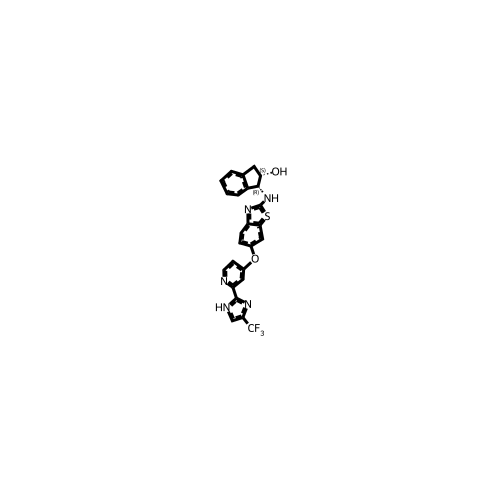 O[C@H]1Cc2ccccc2[C@H]1Nc1nc2ccc(Oc3ccnc(-c4nc(C(F)(F)F)c[nH]4)c3)cc2s1